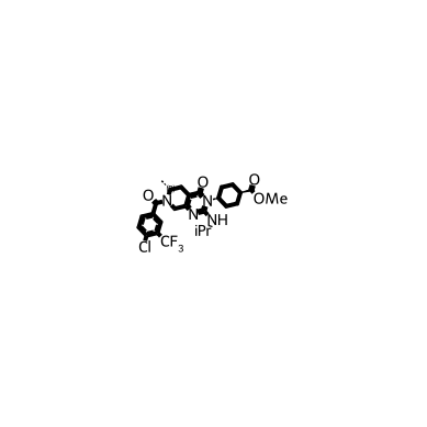 COC(=O)[C@H]1CC[C@H](n2c(NC(C)C)nc3c(c2=O)C[C@@H](C)N(C(=O)c2ccc(Cl)c(C(F)(F)F)c2)C3)CC1